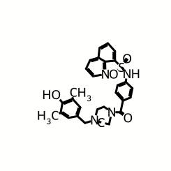 Cc1cc(CN2CCN(C(=O)c3ccc(NS(=O)(=O)c4cccc5cccnc45)cc3)CC2)cc(C)c1O